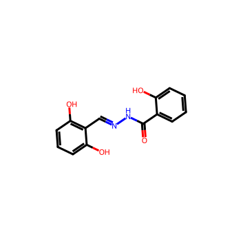 O=C(NN=Cc1c(O)cccc1O)c1ccccc1O